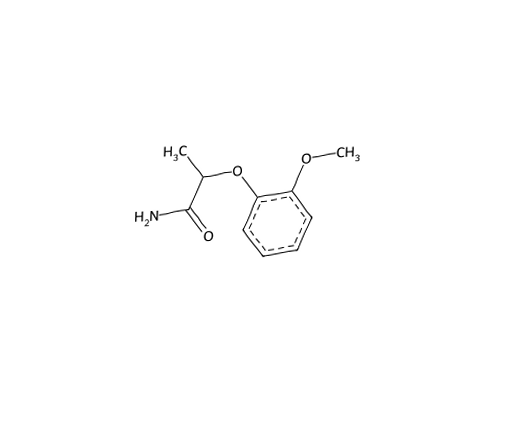 COc1ccccc1OC(C)C(N)=O